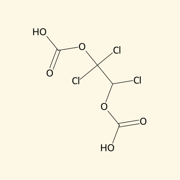 O=C(O)OC(Cl)C(Cl)(Cl)OC(=O)O